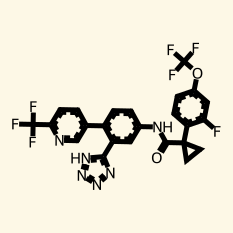 O=C(Nc1ccc(-c2ccc(C(F)(F)F)nc2)c(-c2nnn[nH]2)c1)C1(c2ccc(OC(F)(F)F)cc2F)CC1